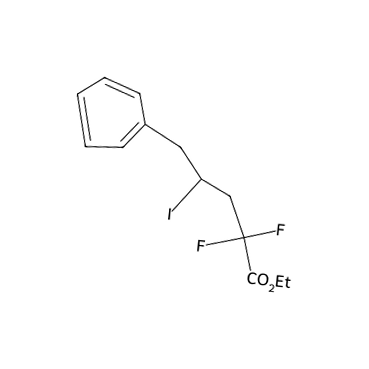 CCOC(=O)C(F)(F)CC(I)Cc1ccccc1